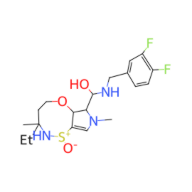 CCC1(C)CCOC2C(=CN(C)C2C(O)NCc2ccc(F)c(F)c2)[S+]([O-])N1